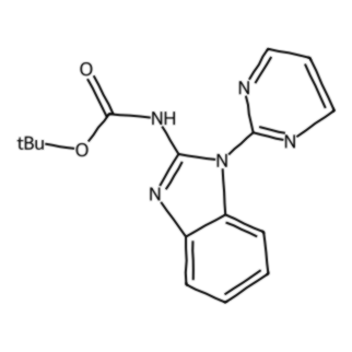 CC(C)(C)OC(=O)Nc1nc2ccccc2n1-c1ncccn1